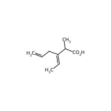 C=CCC(=CC)C(C)C(=O)O